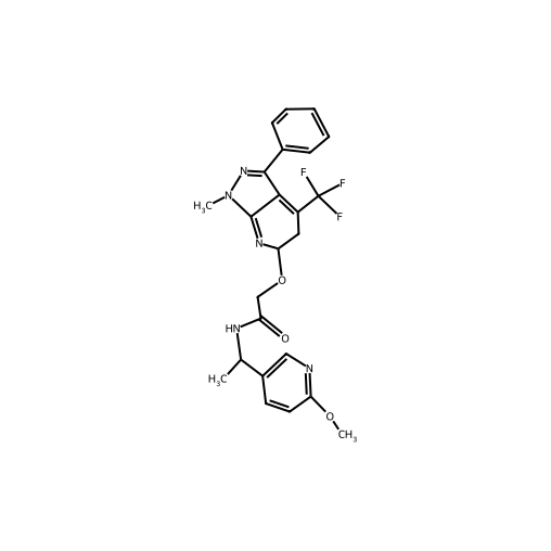 COc1ccc(C(C)NC(=O)COC2CC(C(F)(F)F)=c3c(-c4ccccc4)nn(C)c3=N2)cn1